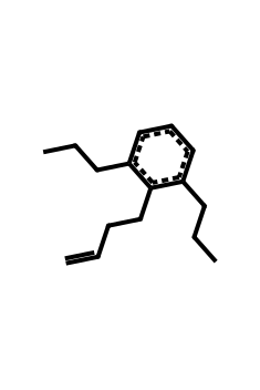 C=CCCc1c(CCC)cccc1CCC